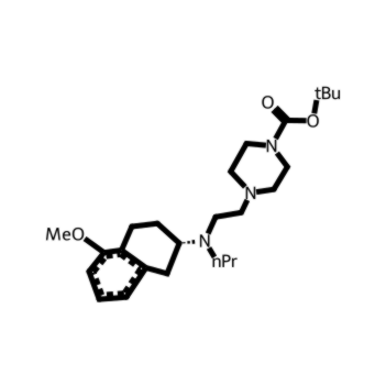 CCCN(CCN1CCN(C(=O)OC(C)(C)C)CC1)[C@H]1CCc2c(cccc2OC)C1